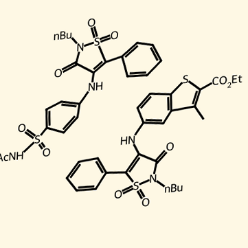 CCCCN1C(=O)C(Nc2ccc(S(=O)(=O)NC(C)=O)cc2)=C(c2ccccc2)S1(=O)=O.CCCCN1C(=O)C(Nc2ccc3sc(C(=O)OCC)c(C)c3c2)=C(c2ccccc2)S1(=O)=O